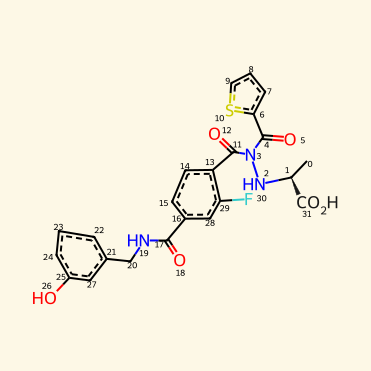 C[C@H](NN(C(=O)c1cccs1)C(=O)c1ccc(C(=O)NCc2cccc(O)c2)cc1F)C(=O)O